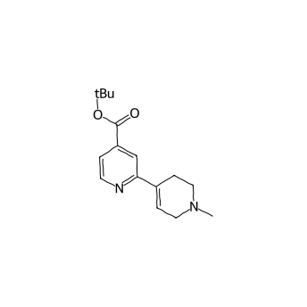 CN1CC=C(c2cc(C(=O)OC(C)(C)C)ccn2)CC1